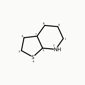 C1CN[C]2SCCC2C1